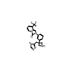 Cn1cnnc1CC1(c2cccc(-n3cc4c(C(F)(F)F)cccn4c3=O)c2)CNC1